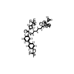 O=C(CCCCCN(c1cccc(-c2ccc(OC(F)F)cc2)c1)C(=O)[C@H]1C[C@H](C(F)(F)F)C1)NS(=O)(=O)C1CC1